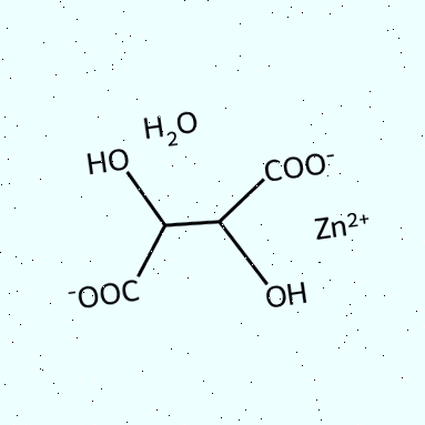 O.O=C([O-])C(O)C(O)C(=O)[O-].[Zn+2]